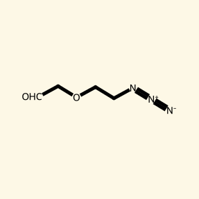 [N-]=[N+]=NCCOCC=O